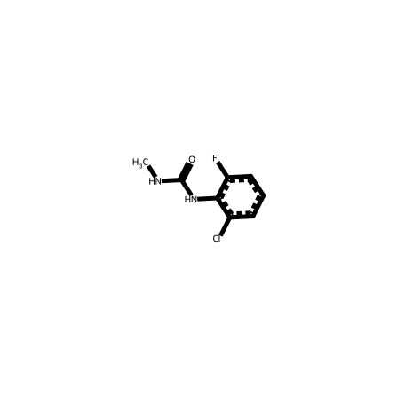 CNC(=O)Nc1c(F)cccc1Cl